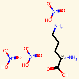 NCCC[C@H](N)C(=O)O.O=[N+]([O-])O.O=[N+]([O-])O.O=[N+]([O-])O